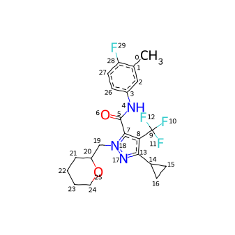 Cc1cc(NC(=O)c2c(C(F)(F)F)c(C3CC3)nn2CC2CCCCO2)ccc1F